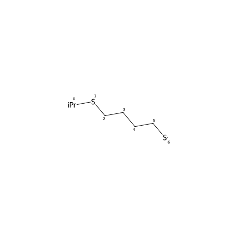 CC(C)SCCCC[S]